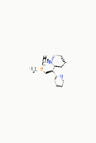 CP(C)C=C(c1ccccn1)c1ccccn1